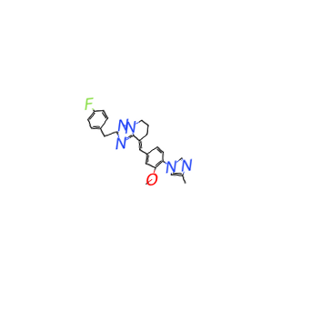 COc1cc(/C=C2\CCCn3nc(Cc4ccc(F)cc4)nc32)ccc1-n1cnc(C)c1